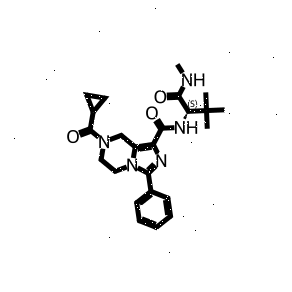 CNC(=O)[C@@H](NC(=O)c1nc(-c2ccccc2)n2c1CN(C(=O)C1CC1)CC2)C(C)(C)C